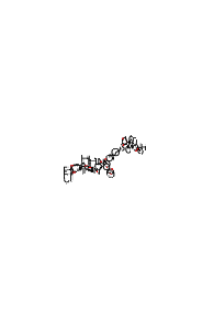 O=C1CCC(N2C(=O)c3cccc(SCCOCCOCC(=O)Nc4cc5c(Nc6ccc(F)c(Cl)c6)ncnc5cc4O[C@H]4CCOC4)c3C2=O)C(=O)N1